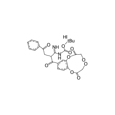 CC(C)(C)OC(=O)NC(=N)C(CC(=O)c1ccccc1)C(=O)c1ccc2c(c1)OC(=O)COOCC(=O)O2.I